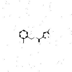 Cc1ccccc1CNC(=N)c1cc(Br)no1